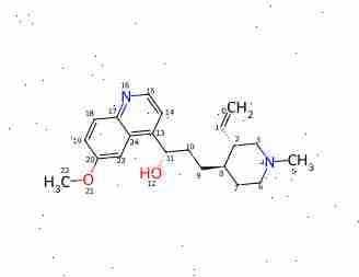 C=C[C@@H]1CN(C)CC[C@H]1CC[C@H](O)c1ccnc2ccc(OC)cc12